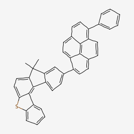 CC1(C)c2cc(-c3ccc4ccc5c(-c6ccccc6)ccc6ccc3c4c65)ccc2-c2c1ccc1sc3ccccc3c21